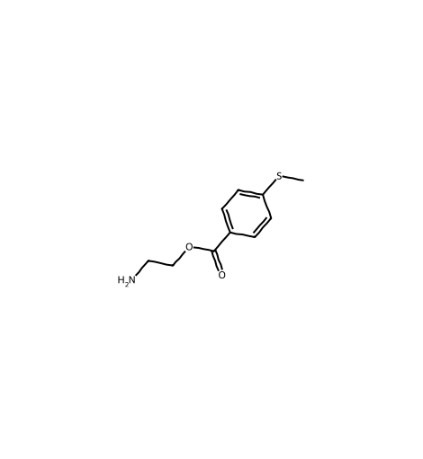 CSc1ccc(C(=O)OCCN)cc1